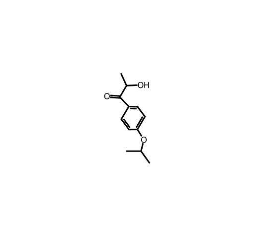 CC(C)Oc1ccc(C(=O)C(C)O)cc1